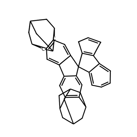 C1=CC2=C(C1)C1(c3ccccc32)c2cc3c(cc2-c2cc4c(cc21)C1CC2CC(CC4C2)C1)C1CC2CC(C1)CC3C2